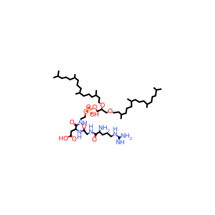 CC(C)CCCC(C)CCCC(C)CCCC(C)CCOCC(COP(=O)(O)OCCNC(=O)C(CC(=O)O)NC(=O)CNC(=O)C(N)CCCNC(=N)N)OCCC(C)CCCC(C)CCCC(C)CCCC(C)C